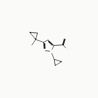 CC1(c2cc(C(N)=O)n(C3CC3)n2)CC1